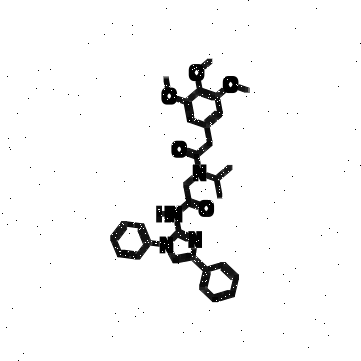 COc1cc(CC(=O)N(CC(=O)Nc2nc(-c3ccccc3)cn2-c2ccccc2)C(C)C)cc(OC)c1OC